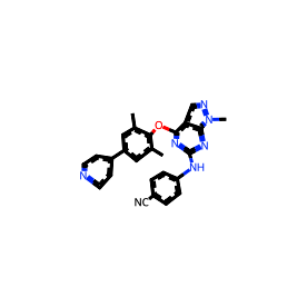 Cc1cc(-c2ccncc2)cc(C)c1Oc1nc(Nc2ccc(C#N)cc2)nc2c1cnn2C